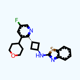 Fc1cnc([C@H]2C[C@H](Nc3nc4ccccc4s3)C2)c(C2CCOCC2)c1